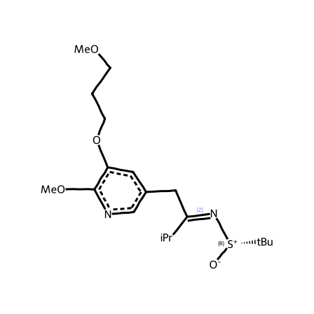 COCCCOc1cc(C/C(=N/[S@@+]([O-])C(C)(C)C)C(C)C)cnc1OC